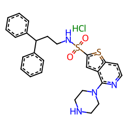 Cl.O=S(=O)(NCCC(c1ccccc1)c1ccccc1)c1cc2c(N3CCNCC3)nccc2s1